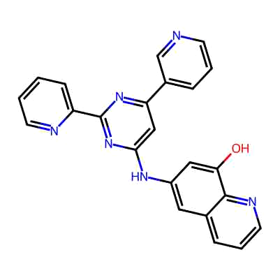 Oc1cc(Nc2cc(-c3cccnc3)nc(-c3ccccn3)n2)cc2cccnc12